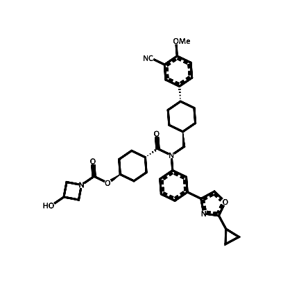 COc1ccc([C@H]2CC[C@H](CN(c3cccc(-c4coc(C5CC5)n4)c3)C(=O)[C@H]3CC[C@H](OC(=O)N4CC(O)C4)CC3)CC2)cc1C#N